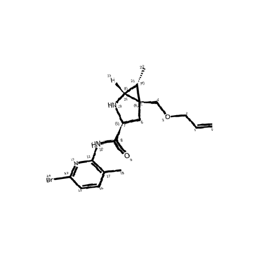 C=CCOC[C@@]12C[C@@H](C(=O)Nc3nc(Br)ccc3C)N[C@@H]1[C@@H]2C